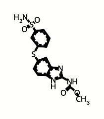 COC(=O)Nc1nc2cc(Sc3cccc(S(N)(=O)=O)c3)ccc2[nH]1